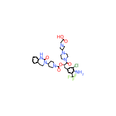 Nc1c(Cl)cc(C[C@@H](OC(=O)N2CCC(N3CCc4ccccc4NC3=O)CC2)C(=O)N2CCN(C3CN(CC(=O)O)C3)CC2)cc1C(F)(F)F